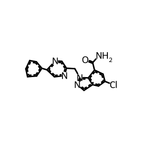 NC(=O)c1cc(Cl)cc2cnn(Cc3cnc(-c4ccccc4)cn3)c12